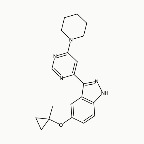 CC1(Oc2ccc3[nH]nc(-c4cc(N5CCCCC5)ncn4)c3c2)CC1